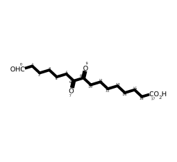 O=CCCCCCC(=O)C(=O)CCCCCCCC(=O)O